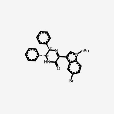 CCCCn1cc(C2=N[C@H](c3ccccc3)[C@@H](c3ccccc3)NC2=O)c2cc(Br)ccc21